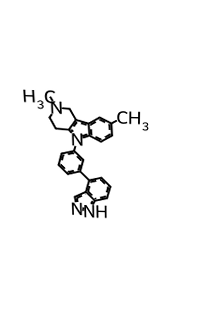 Cc1ccc2c(c1)c1c(n2-c2cccc(-c3cccc4[nH]ncc34)c2)CCN(C)C1